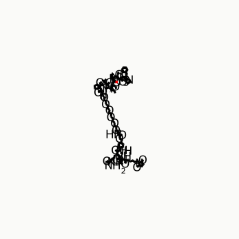 CC[C@H](C)[C@@H]([C@@H](CC(=O)N1CCC[C@H]1[C@H](OC)[C@@H](C)C(=O)N[C@@H](Cc1ccccc1)c1nccs1)OC)N(C)C(=O)[C@@H](NC(=O)C1(NC(=O)CCOCCOCCOCCOCCOCCOCNC(=O)OCc2ccc(NC(=O)[C@H](CCCNC(N)=O)NC(=O)[C@@H](NC(=O)CCCCCN3C(=O)C=CC3=O)C(C)C)cc2)CCCC1)C(C)C